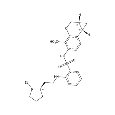 CCN1CCC[C@@H]1CCNc1ccccc1S(=O)(=O)Nc1ccc2c(c1C(=O)O)OC[C@@H]1C[C@H]21